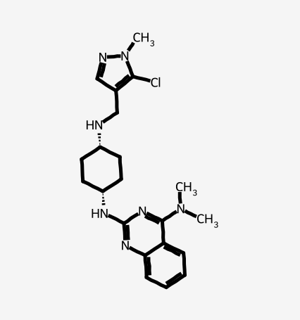 CN(C)c1nc(N[C@H]2CC[C@@H](NCc3cnn(C)c3Cl)CC2)nc2ccccc12